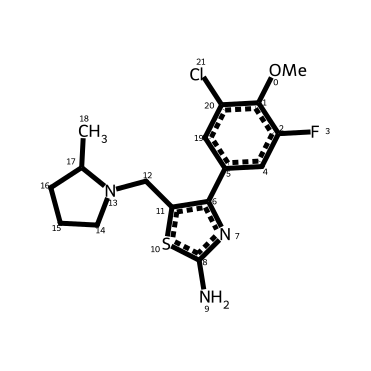 COc1c(F)cc(-c2nc(N)sc2CN2CCCC2C)cc1Cl